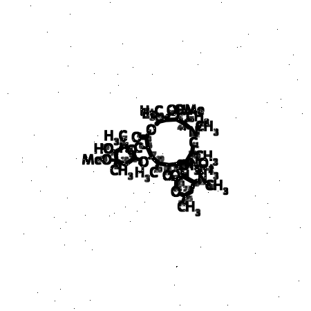 CC[C@H]1OC(=O)[C@H](C)[C@@H](O[C@H]2C[C@@](C)(OC)[C@@H](O)[C@H](C)O2)[C@H](C)[C@@H](O[C@@H]2O[C@H](C)CC(N(C)C)[C@H]2O[N+](=O)[O-])[C@](C)(O)C[C@@H](C)CN(C)[C@H](C)[C@@H](OC)[C@]1(C)O